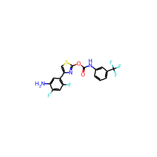 Nc1cc(-c2csc(OC(=O)Nc3cccc(C(F)(F)F)c3)n2)c(F)cc1F